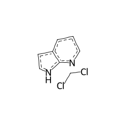 ClCCl.c1cnc2[nH]ccc2c1